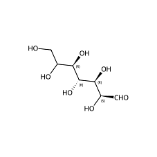 O=C[C@@H](O)[C@H](O)[C@H](O)[C@H](O)C(O)CO